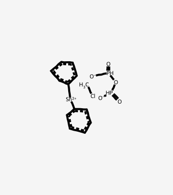 CCl.O=[PH]([O-])O[PH](=O)[O-].c1cc[c]([Sn+2][c]2ccccc2)cc1